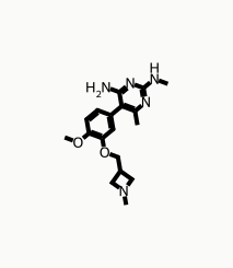 CNc1nc(C)c(-c2ccc(OC)c(OCC3CN(C)C3)c2)c(N)n1